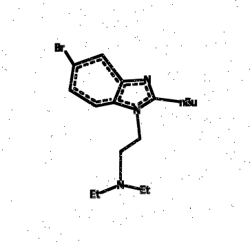 CCCCc1nc2cc(Br)ccc2n1CCN(CC)CC